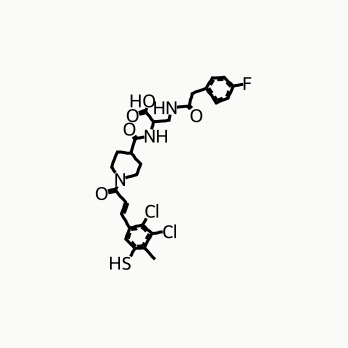 Cc1c(S)cc(C=CC(=O)N2CCC(C(=O)NC(CNC(=O)Cc3ccc(F)cc3)C(=O)O)CC2)c(Cl)c1Cl